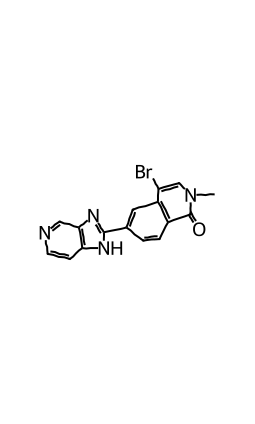 Cn1cc(Br)c2cc(-c3nc4cnccc4[nH]3)ccc2c1=O